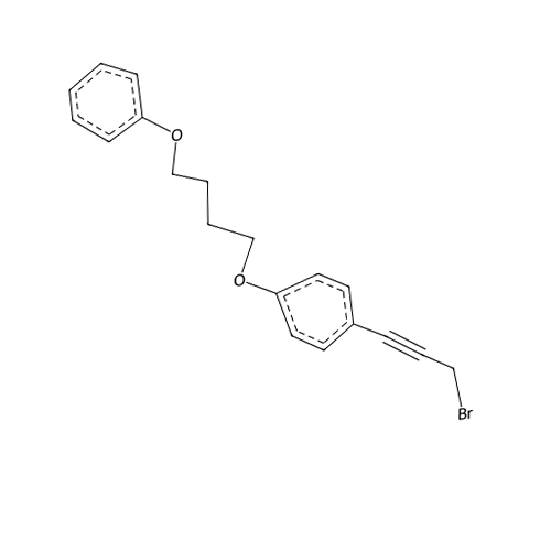 BrCC#Cc1ccc(OCCCCOc2ccccc2)cc1